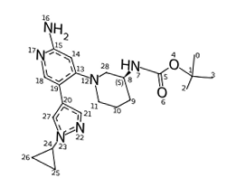 CC(C)(C)OC(=O)N[C@H]1CCCN(c2cc(N)ncc2-c2cnn(C3CC3)c2)C1